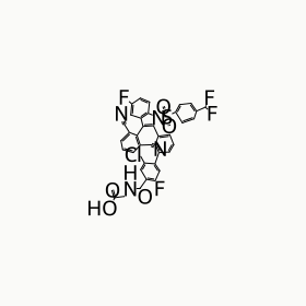 N#Cc1cccc(C#N)c1-c1c(-c2cccc(-c3cc(F)c(C(=O)NCC(=O)O)cc3Cl)c2)n(S(=O)(=O)c2ccc(C(F)F)cc2)c2ccc(F)cc12